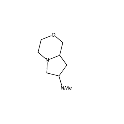 CNC1CC2COCCN2C1